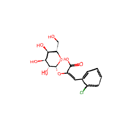 O=C(O)/C(=C\c1ccccc1Cl)O[C@H]1O[C@@H](CO)[C@H](O)[C@H](O)[C@H]1O